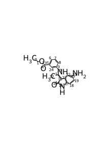 CCOC(=O)c1cccc(NC(C)=C2C(=O)Nc3ccc(N)cc32)c1